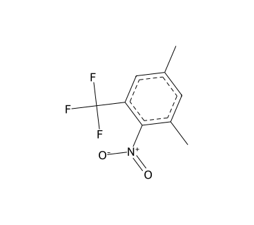 Cc1cc(C)c([N+](=O)[O-])c(C(F)(F)F)c1